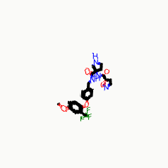 COc1ccc(Oc2ccc(CNC(=O)C3(NC(=O)c4ccno4)CCNC3)cc2)c(C(F)(F)F)c1